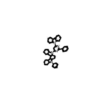 c1ccc(-c2nc(-n3c4ccccc4c4ccccc43)cc(-n3c4ccccc4c4c5c6ccccc6n(-c6ccccc6)c5ccc43)n2)cc1